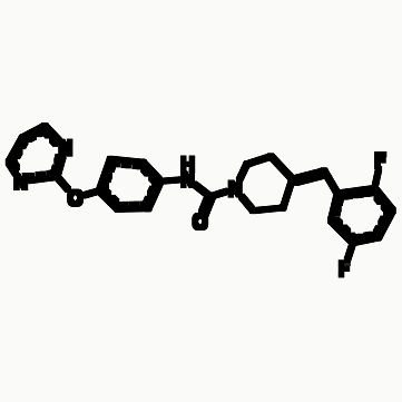 O=C(Nc1ccc(Oc2ncccn2)cc1)N1CCC(=Cc2cc(F)ccc2F)CC1